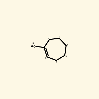 CC(=O)C1=CCCCCC1